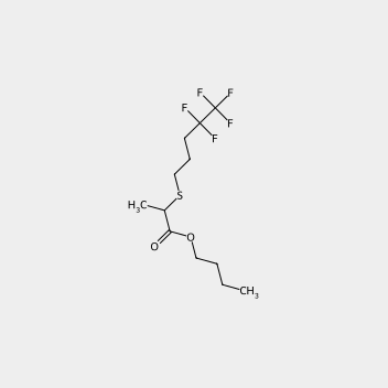 CCCCOC(=O)C(C)SCCCC(F)(F)C(F)(F)F